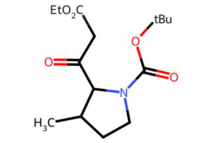 CCOC(=O)CC(=O)C1C(C)CCN1C(=O)OC(C)(C)C